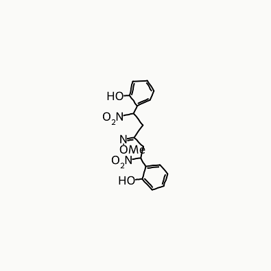 CON=C(CC(c1ccccc1O)[N+](=O)[O-])CC(c1ccccc1O)[N+](=O)[O-]